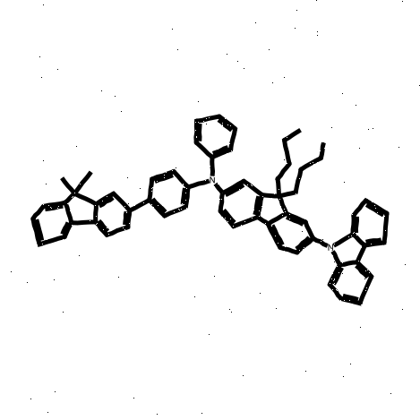 CCCCC1(CCCC)c2cc(N(c3ccccc3)c3ccc(-c4ccc5c(c4)C(C)(C)c4ccccc4-5)cc3)ccc2-c2ccc(-n3c4ccccc4c4ccccc43)cc21